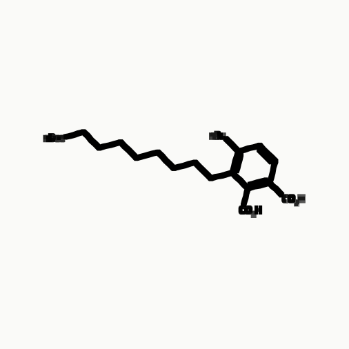 CCCCCCCCCCCCCCCCCCc1c(CCCC)ccc(C(=O)O)c1C(=O)O